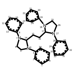 c1ccc(N2CCN(c3ccccc3)C2CCC2N(c3ccccc3)CCN2c2ccccc2)cc1